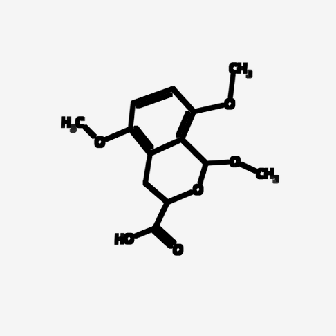 COc1ccc(OC)c2c1CC(C(=O)O)OC2OC